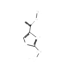 NNC(=O)c1csc(NC(=O)O)n1